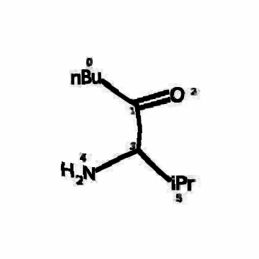 CCCCC(=O)C(N)C(C)C